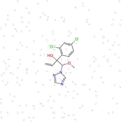 C=CC(O)(c1ccc(Cl)cc1Cl)C(OC)n1cncn1